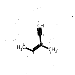 C#C/C([CH2])=C\C